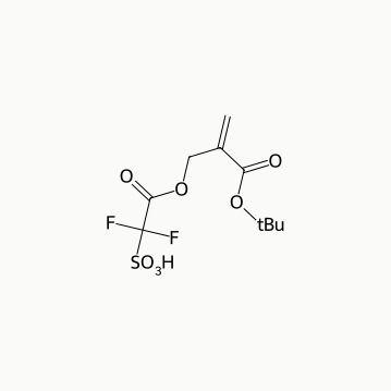 C=C(COC(=O)C(F)(F)S(=O)(=O)O)C(=O)OC(C)(C)C